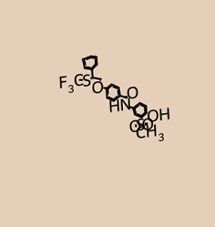 CS(=O)(=O)c1cc(NC(=O)c2ccc(OCC(SC(F)(F)F)c3ccccc3)cc2)ccc1O